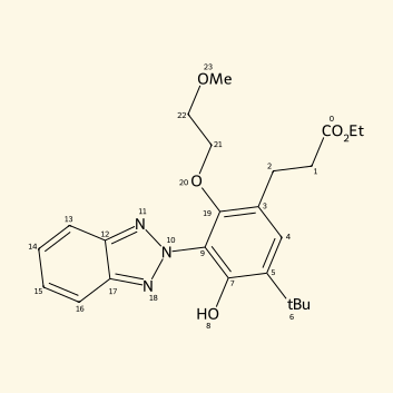 CCOC(=O)CCc1cc(C(C)(C)C)c(O)c(-n2nc3ccccc3n2)c1OCCOC